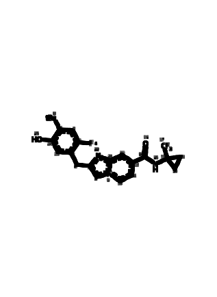 CC(C)(C)c1cc(F)c(Cc2cn3ccc(C(=O)NC4(C(F)(F)F)CC4)cc3n2)cc1O